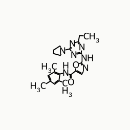 CCc1nc(Nc2ncc(C(=O)Nc3c(C)cc(C)cc3C)o2)nc(N2CCCC2)n1